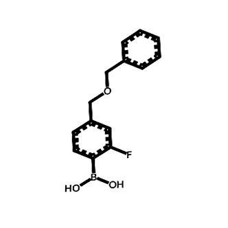 OB(O)c1ccc(COCc2ccccc2)cc1F